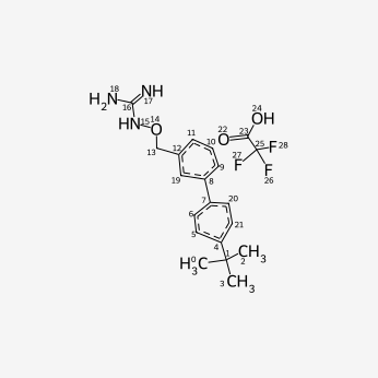 CC(C)(C)c1ccc(-c2cccc(CONC(=N)N)c2)cc1.O=C(O)C(F)(F)F